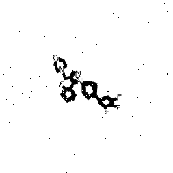 Fc1ccccc1-c1c(CN2CCOCC2)cnn1-c1ccc(-c2cc(F)c(F)c(F)c2)cc1